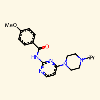 COc1ccc(C(=O)Nc2nccc(N3CCN(C(C)C)CC3)n2)cc1